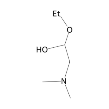 CCOC(O)CN(C)C